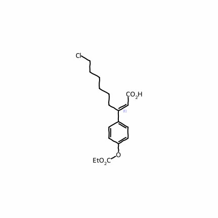 CCOC(=O)Oc1ccc(/C(=C/C(=O)O)CCCCCCCl)cc1